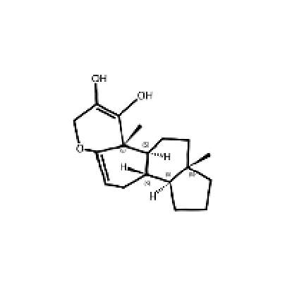 C[C@@]12CCC[C@H]1[C@@H]1CC=C3OCC(O)=C(O)[C@]3(C)[C@H]1CC2